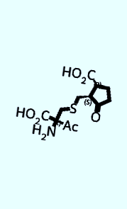 CC(=O)[C@](N)(CSC[C@@H]1C(=O)CC[C@H]1C(=O)O)C(=O)O